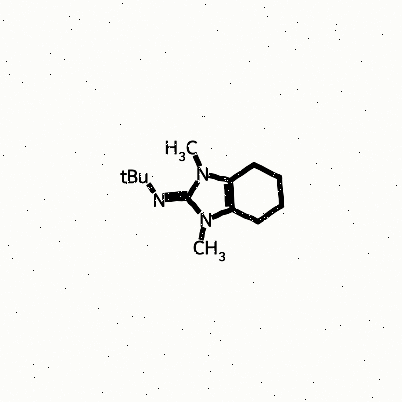 Cn1c2c(n(C)c1=NC(C)(C)C)CCCC2